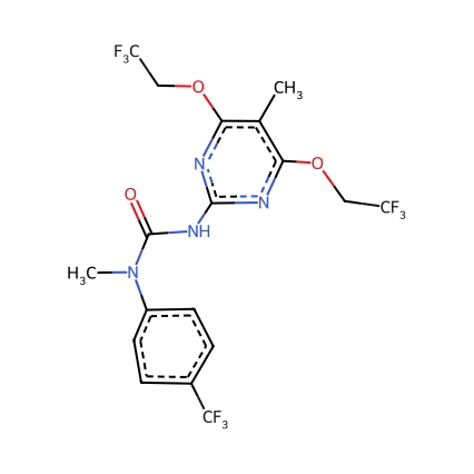 Cc1c(OCC(F)(F)F)nc(NC(=O)N(C)c2ccc(C(F)(F)F)cc2)nc1OCC(F)(F)F